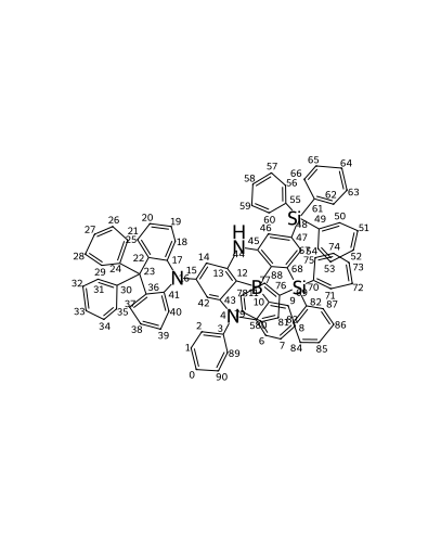 c1ccc(N2c3ccccc3B3c4c(cc(N5c6ccccc6C(c6ccccc6)(c6ccccc6)c6ccccc65)cc42)Nc2cc([Si](c4ccccc4)(c4ccccc4)c4ccccc4)cc([Si](c4ccccc4)(c4ccccc4)c4ccccc4)c23)cc1